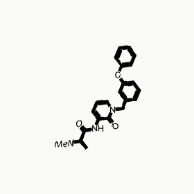 CNC(C)C(=O)Nc1cccn(Cc2cccc(Oc3ccccc3)c2)c1=O